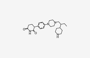 CCC(CN1CCN(c2ccc(C3CCC(=O)NC3=O)cc2)CC1)C1CCNCC1